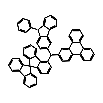 c1ccc(-n2c3ccccc3c3cc(N(c4ccc5c6ccccc6c6ccccc6c5c4)c4cccc5c4-c4ccccc4C54c5ccccc5-c5ccccc54)ccc32)cc1